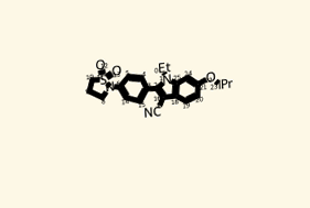 CCn1c(-c2ccc(N3CCCS3(=O)=O)cc2)c(C#N)c2ccc(OC(C)C)cc21